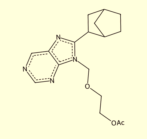 CC(=O)OCCOCn1c(C2CC3CCC2C3)nc2cncnc21